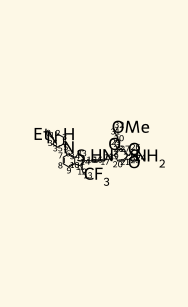 CCN1CCC(Nc2cccc3c(CC(F)(F)F)c(C#CCNc4ccc(S(N)(=O)=O)cc4OCCOC)sc23)CC1